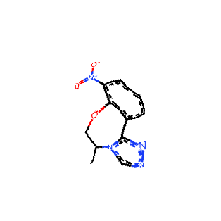 CC1COc2c(cccc2[N+](=O)[O-])-c2nncn21